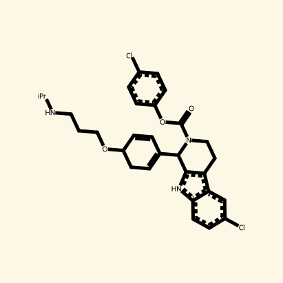 CC(C)NCCCOC1C=CC(C2c3[nH]c4ccc(Cl)cc4c3CCN2C(=O)Oc2ccc(Cl)cc2)=CC1